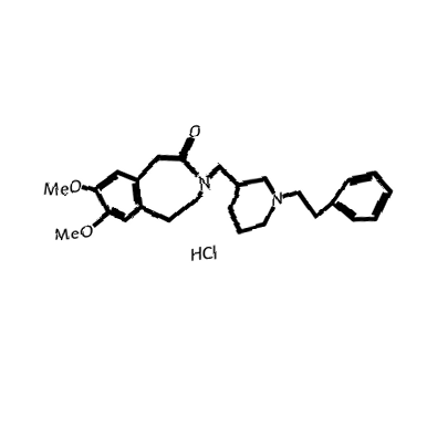 COc1cc2c(cc1OC)CC(=O)N(CC1CCCN(CCc3ccccc3)C1)CC2.Cl